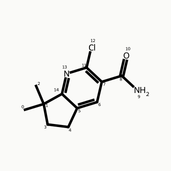 CC1(C)CCc2cc(C(N)=O)c(Cl)nc21